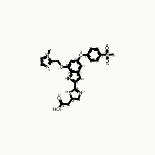 Cn1ccnc1COc1cc(Oc2ccc(S(C)(=O)=O)cc2)cc2cc(C3=NCC(CC(=O)O)S3)[nH]c12